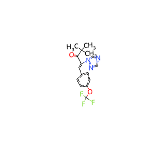 CC(C)(C)C(=O)C(=Cc1ccc(OC(F)(F)F)cc1)n1cncn1